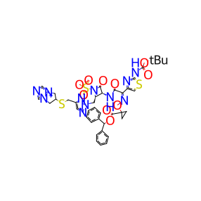 CC(C)(C)OC(=O)Nc1nc(C(=NOC2(C(=O)OC(c3ccccc3)c3ccccc3)CC2)C(=O)N[C@@H]2C(=O)N(S(=O)(=O)[O-])[C@@H]2Cn2ncc(CSC3Cn4cnc[n+]4C3)n2)cs1